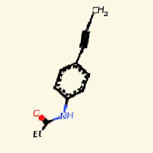 CC#Cc1ccc(NC(=O)CC)cc1